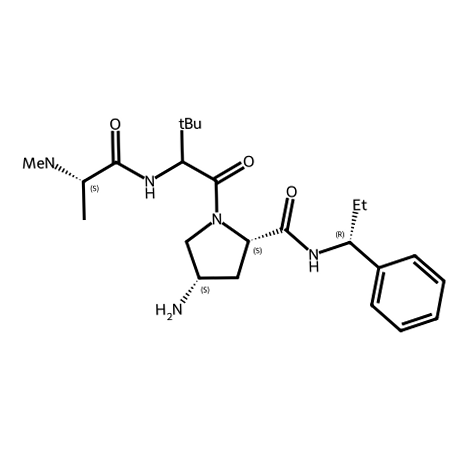 CC[C@@H](NC(=O)[C@@H]1C[C@H](N)CN1C(=O)C(NC(=O)[C@H](C)NC)C(C)(C)C)c1ccccc1